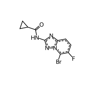 O=C(Nc1nc2ccc(F)c(Br)n2n1)C1CC1